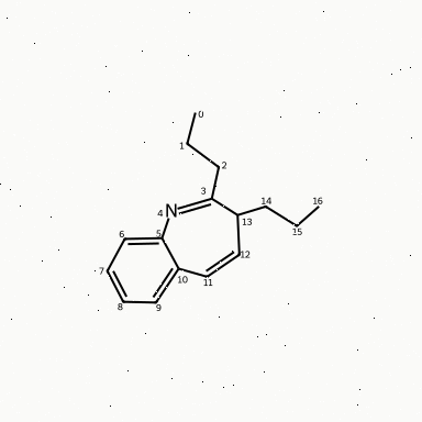 CCCC1=Nc2ccccc2C=CC1CCC